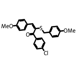 COc1ccc(/C=C(/SCc2ccc(OC)cc2)C(=O)c2ccc(Cl)cc2)cc1